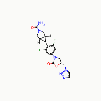 NC(=O)N1C[C@@H]2[C@H](C1)[C@H]2c1c(F)cc(N2C[C@H](Cn3ccnn3)OC2=O)cc1F